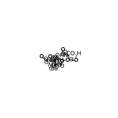 COC(=O)c1cc(C[C@H](NC(=O)[C@H](C[C@@H](O)CNC(=O)OCc2ccccc2)NC(=O)OC(C)(C)C)C(=O)OCc2ccccc2)cc(-c2ccc(OCc3ccccc3)c(C[C@H](NC(=O)OCc3ccccc3)C(=O)O)c2)c1